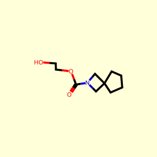 O=C(OCCO)N1CC2(CCCC2)C1